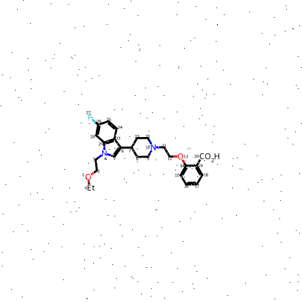 CCOCCn1cc(C2CCN(CCOc3ccccc3C(=O)O)CC2)c2ccc(F)cc21